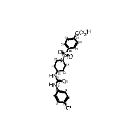 O=C(Nc1ccc(Cl)cc1)NC1CCN(S(=O)(=O)c2ccc(C(=O)O)cc2)CC1